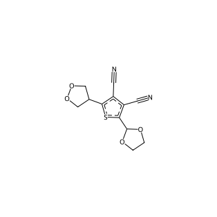 N#Cc1c(C2COOC2)sc(C2OCCO2)c1C#N